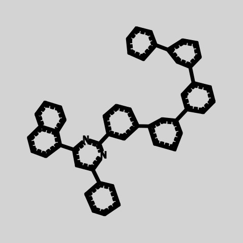 c1ccc(-c2cccc(-c3cccc(-c4cccc(-c5cccc(-c6nc(-c7ccccc7)cc(-c7cccc8ccccc78)n6)c5)c4)c3)c2)cc1